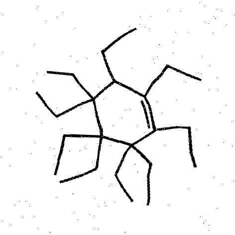 CCC1=C(CC)C(CC)(CC)C(CC)(CC)C(CC)(CC)C1CC